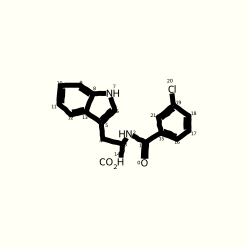 O=C(NC(Cc1c[nH]c2ccccc12)C(=O)O)c1cccc(Cl)c1